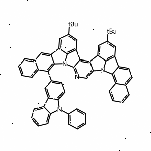 CC(C)(C)c1cc2c3cc4ccccc4c(-c4ccc5c(c4)c4ccccc4n5-c4ccccc4)c3n3c4ncc5c(c6cc(C(C)(C)C)cc7c8ccc9ccccc9c8n5c76)c4c(c1)c23